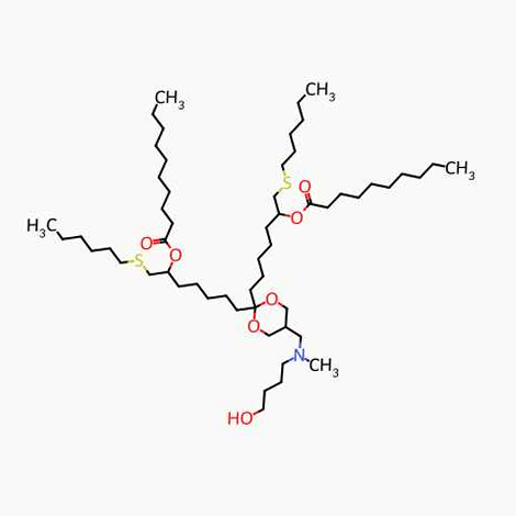 CCCCCCCCCC(=O)OC(CCCCCC1(CCCCCC(CSCCCCCC)OC(=O)CCCCCCCCC)OCC(CN(C)CCCCO)CO1)CSCCCCCC